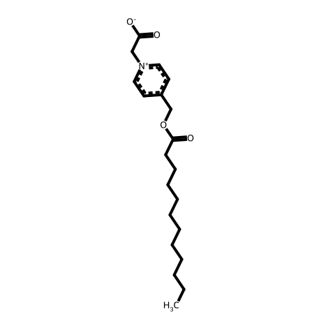 CCCCCCCCCCCC(=O)OCc1cc[n+](CC(=O)[O-])cc1